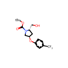 CC(C)(C)OC(=O)N1C[C@H](Oc2ccc(C(F)(F)F)cc2)C[C@H]1CO